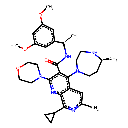 COc1cc(OC)cc([C@H](C)NC(=O)c2c(N3CCOCC3)nc3c(C4CC4)nc(C)cc3c2N2CCN[C@@H](C)CC2)c1